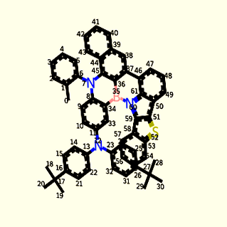 Cc1ccccc1N1c2ccc(N(c3ccc(C(C)(C)C)cc3)c3ccc(C(C)(C)C)cc3)cc2B2c3c(cc4ccccc4c31)-c1cccc3c4sc5ccccc5c4n2c13